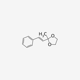 CC1(/C=C/c2ccccc2)OCCO1